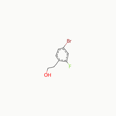 OCCc1ccc(Br)cc1F